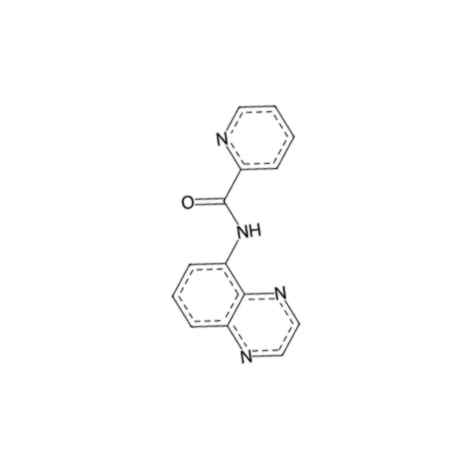 O=C(Nc1cccc2nccnc12)c1ccccn1